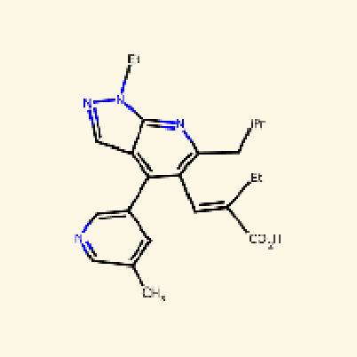 CC/C(=C\c1c(CC(C)C)nc2c(cnn2CC)c1-c1cncc(C)c1)C(=O)O